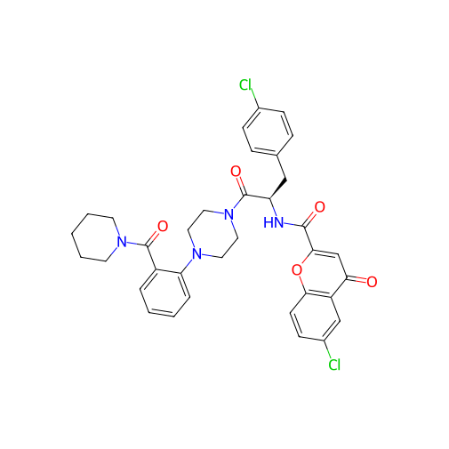 O=C(N[C@H](Cc1ccc(Cl)cc1)C(=O)N1CCN(c2ccccc2C(=O)N2CCCCC2)CC1)c1cc(=O)c2cc(Cl)ccc2o1